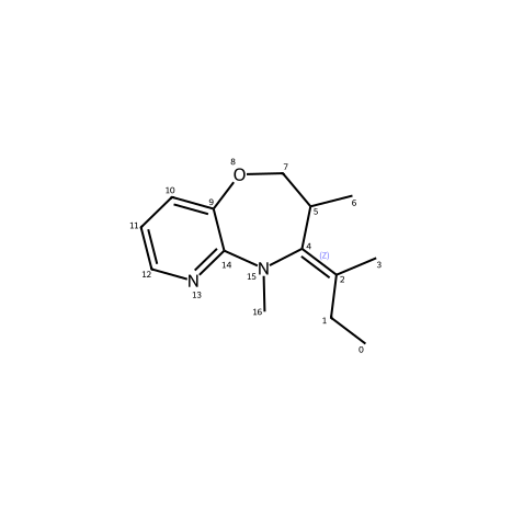 CC/C(C)=C1/C(C)COc2cccnc2N1C